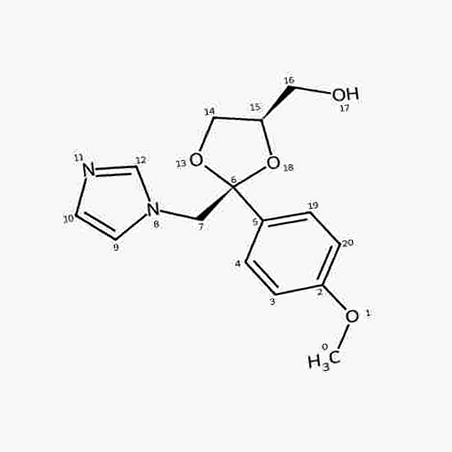 COc1ccc([C@]2(Cn3ccnc3)OC[C@@H](CO)O2)cc1